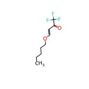 CCCCCOC=CC(=O)C(F)(F)F